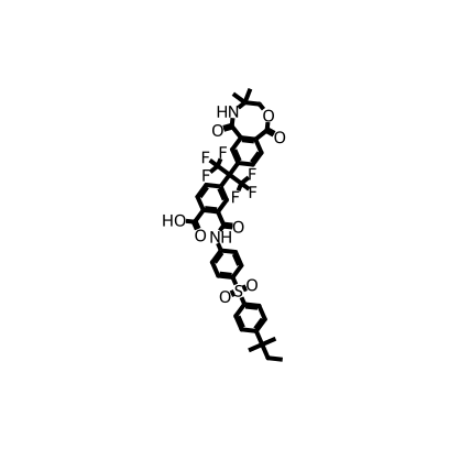 CCC(C)(C)c1ccc(S(=O)(=O)c2ccc(NC(=O)c3cc(C(c4ccc5c(c4)C(=O)NC(C)(C)COC5=O)(C(F)(F)F)C(F)(F)F)ccc3C(=O)O)cc2)cc1